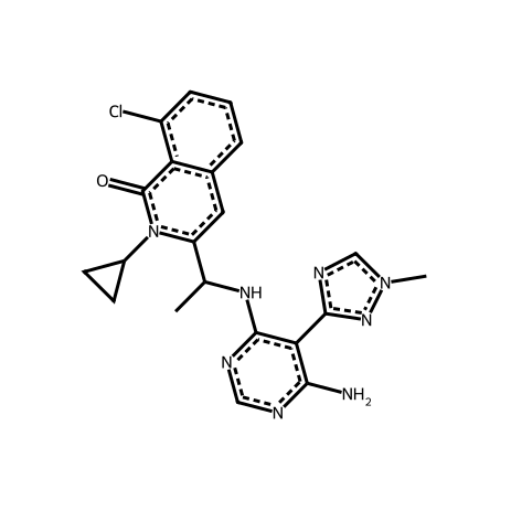 CC(Nc1ncnc(N)c1-c1ncn(C)n1)c1cc2cccc(Cl)c2c(=O)n1C1CC1